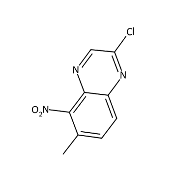 Cc1ccc2nc(Cl)cnc2c1[N+](=O)[O-]